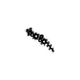 CCCCCCc1ccc(OC(=O)[C@H]2CC[C@H](OCC(F)(F)F)CC2)cc1